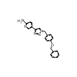 Nc1ccc(-c2cn(Cc3ccc(OCc4ccccc4)cc3)nn2)cn1